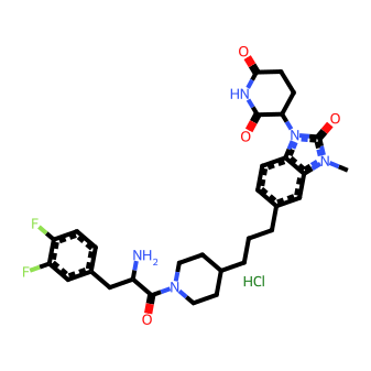 Cl.Cn1c(=O)n(C2CCC(=O)NC2=O)c2ccc(CCCC3CCN(C(=O)C(N)Cc4ccc(F)c(F)c4)CC3)cc21